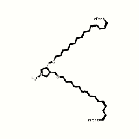 CCCCC/C=C\C/C=C\CCCCCCCCCCOC[C@H]1CN(C)C[C@@H]1COCCCCCCCCCC/C=C\C/C=C\CCCCC